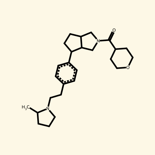 CC1CCCN1CCc1ccc(C2CCC3CN(C(=O)C4CCOCC4)CC32)cc1